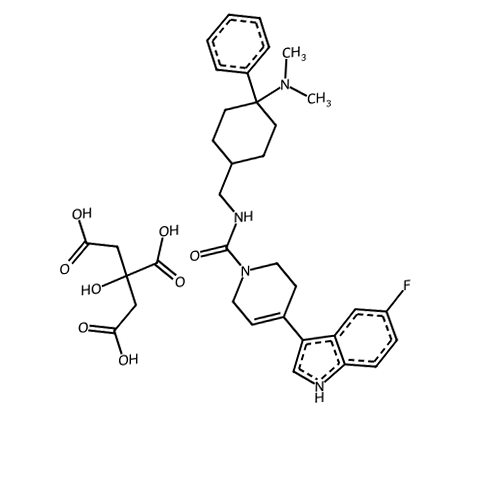 CN(C)C1(c2ccccc2)CCC(CNC(=O)N2CC=C(c3c[nH]c4ccc(F)cc34)CC2)CC1.O=C(O)CC(O)(CC(=O)O)C(=O)O